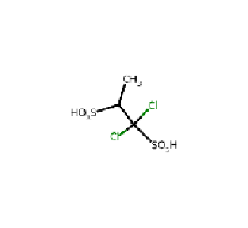 CC(C(Cl)(Cl)S(=O)(=O)O)S(=O)(=O)O